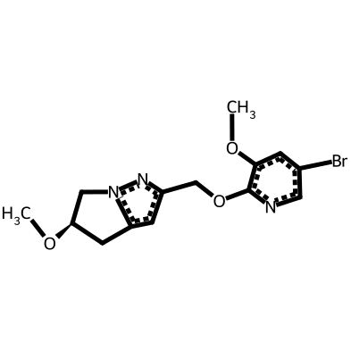 COc1cc(Br)cnc1OCc1cc2n(n1)C[C@H](OC)C2